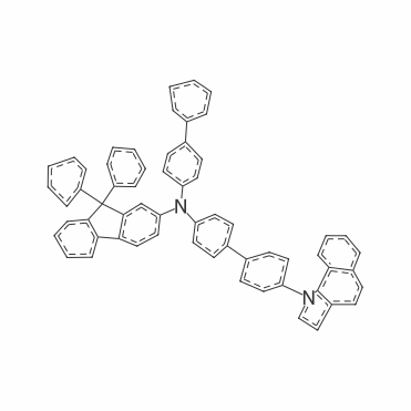 c1ccc(-c2ccc(N(c3ccc(-c4ccc(-n5ccc6ccc7ccccc7c65)cc4)cc3)c3ccc4c(c3)C(c3ccccc3)(c3ccccc3)c3ccccc3-4)cc2)cc1